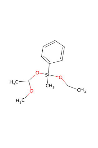 CCO[Si](C)(OC(C)OC)c1ccccc1